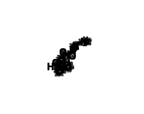 O=C(NCC(=O)N1CCN(CCCN2CCCC2)CC1)c1ccc(S(=O)(=O)Nc2ccccc2Oc2ccccc2)cc1